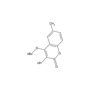 CCCCOc1c(CCC)c(=O)oc2ccc(C)cc12